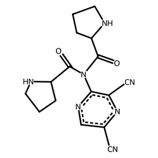 N#Cc1cnc(N(C(=O)C2CCCN2)C(=O)C2CCCN2)c(C#N)n1